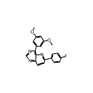 COc1cc(OC)cc(-c2ncnc3ccc(-c4ccc(F)cc4)nc23)c1